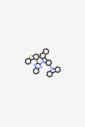 c1ccc2c(c1)ccc1c2c2ccc(-n3c4ccccc4c4ccccc43)cc2n1-c1nc2ccccc2nc1-c1cccc2sc3ccccc3c12